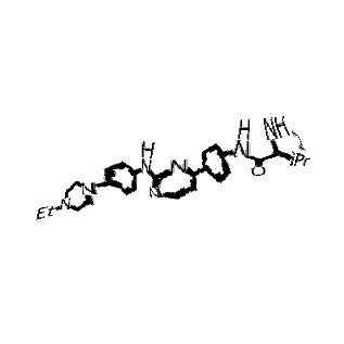 CCN1CCN(c2ccc(Nc3nccc(-c4ccc(NC(=O)C(N)C(C)C)cc4)n3)cc2)CC1